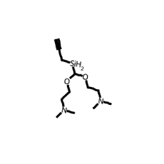 C#CC[SiH2]C(OCCN(C)C)OCCN(C)C